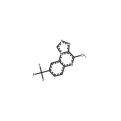 Cc1nc2ccc(C(F)(F)F)cc2n2cnnc12